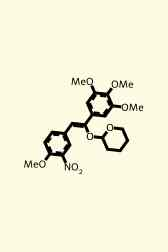 COc1ccc(C=C(OC2CCCCO2)c2cc(OC)c(OC)c(OC)c2)cc1[N+](=O)[O-]